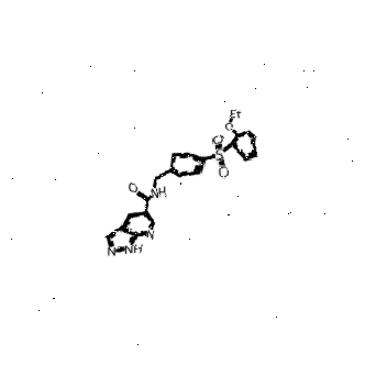 CCOc1ccccc1S(=O)(=O)c1ccc(CNC(=O)c2cnc3[nH]ncc3c2)cc1